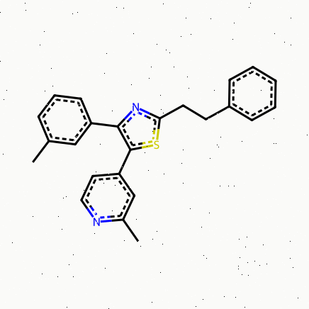 Cc1cccc(-c2nc(CCc3ccccc3)sc2-c2ccnc(C)c2)c1